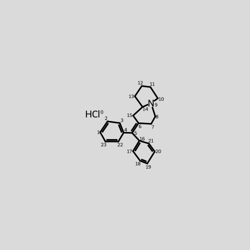 Cl.c1ccc(C(=C2CCN3CCCCC3C2)c2ccccc2)cc1